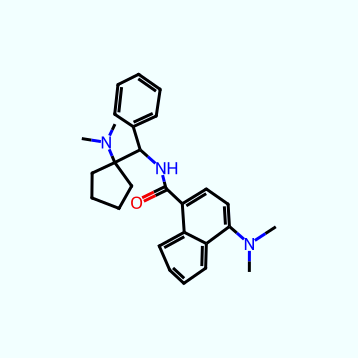 CN(C)c1ccc(C(=O)NC(c2ccccc2)C2(N(C)C)CCCC2)c2ccccc12